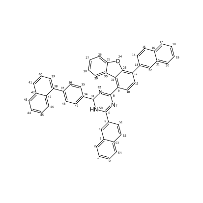 c1ccc2cc(C3=NC(c4ccc(-c5ccc6ccccc6c5)c5oc6ccccc6c45)=NC(c4ccc(-c5cccc6ccccc56)cc4)N3)ccc2c1